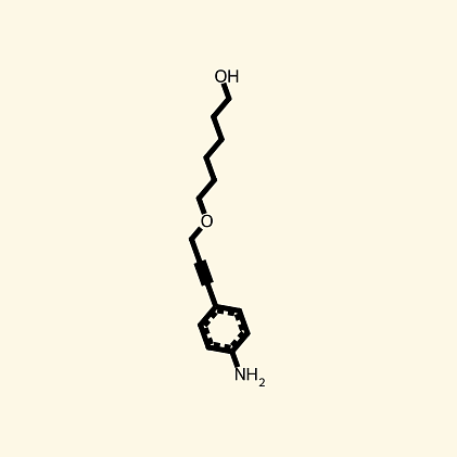 Nc1ccc(C#CCOCCCCCCO)cc1